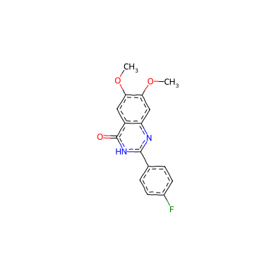 COc1cc2nc(-c3ccc(F)cc3)[nH]c(=O)c2cc1OC